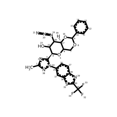 Cc1nc([C@@H]2OC3COC(c4ccccc4)O[C@@H]3C(N=[N+]=[N-])C2O)n(-c2ccc3nc(C(F)(F)F)sc3c2)n1